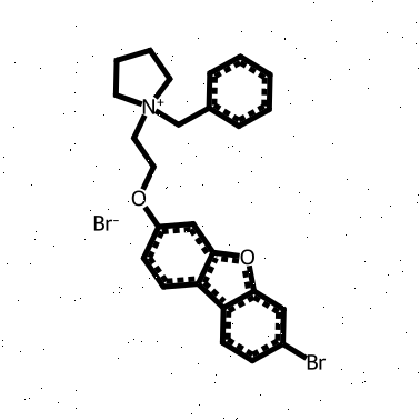 Brc1ccc2c(c1)oc1cc(OCC[N+]3(Cc4ccccc4)CCCC3)ccc12.[Br-]